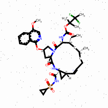 CC[C@@H]1C[C@H](C)CC/C=C\[C@@H]2C[C@@]2(C(=O)NS(=O)(=O)C2CC2)NC(=O)[C@@H]2C[C@@H](Oc3ncc(OC)c4ccccc34)CN2C(=O)[C@H]1NC(=O)OC(C)(C)C(C)(F)F